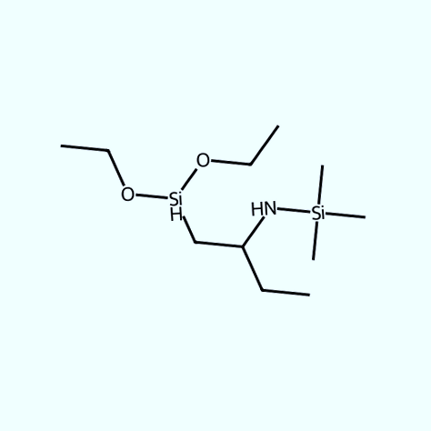 CCO[SiH](CC(CC)N[Si](C)(C)C)OCC